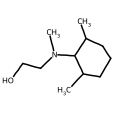 CC1CCCC(C)C1N(C)CCO